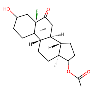 CC(=O)OC1CC[C@H]2[C@@H]3CC(=O)[C@@]4(F)CC(O)CC[C@]4(C)[C@H]3CC[C@]12C